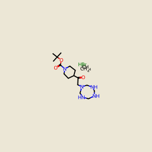 Br.C.C.CC(C)(C)OC(=O)N1CCC(C(=O)CN2CNCNCNC2)CC1